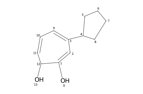 OC1=CC(C2CCCC2)=CC=CC1O